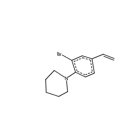 C=Cc1ccc(N2CCCCC2)c(Br)c1